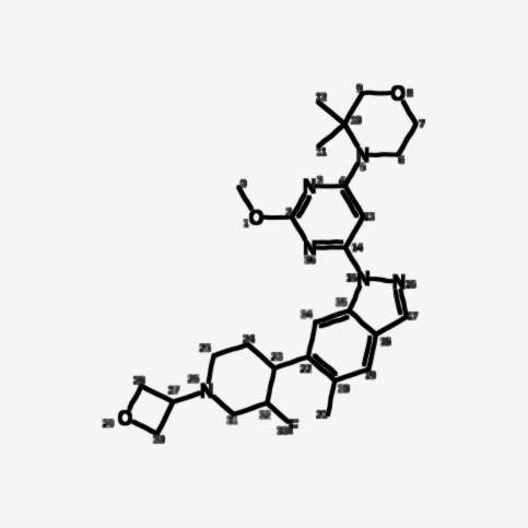 COc1nc(N2CCOCC2(C)C)cc(-n2ncc3cc(C)c(C4CCN(C5COC5)CC4F)cc32)n1